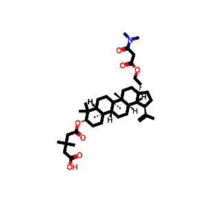 C=C(C)[C@@H]1CC[C@]2(CCOC(=O)CC(=O)N(C)C)CC[C@]3(C)[C@H](CC[C@@H]4[C@@]5(C)CC[C@H](OC(=O)CC(C)(C)CC(=O)O)C(C)(C)[C@@H]5CC[C@]43C)[C@@H]12